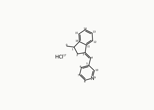 CC1C/C(=C\c2cccnc2)c2ccccc21.Cl